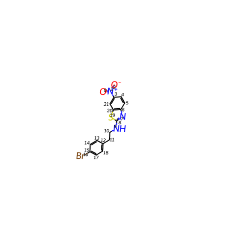 O=[N+]([O-])c1ccc2nc(NCCc3ccc(Br)cc3)sc2c1